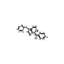 c1ccc(Cn2cnc3c(Nc4ccccc4)nccc32)cc1